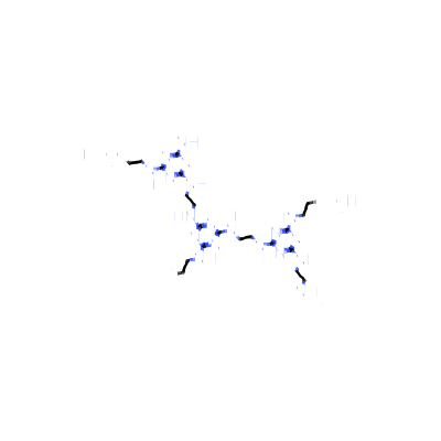 NCCNc1nc(NCCNc2nc(NCCNc3nc(N)nc(NCCC(=O)O)n3)nc(NCCC(=O)O)n2)nc(NCCC(=O)O)n1